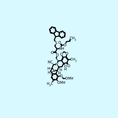 C=CCOC(=O)NC(CSCC1c2ccccc2-c2ccccc21)C(=O)OC[C@H]1C2=C3OCOC3=C(C)C(=O)C2(O)C[C@H]2[C@H]3c4c(cc(C)c(OC)c4OCOC)C[C@@H]([C@H](C#N)N12)N3C